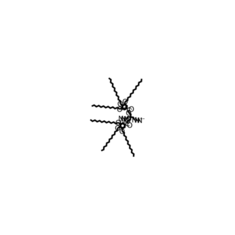 CCCCCCCCCCCCOc1cc([14C](=O)OCC(CN=[N+]=[N-])(CN=[N+]=[N-])CO[14C](=O)c2cc(OCCCCCCCCCCCC)c(OCCCCCCCCCCCC)c(OCCCCCCCCCCCC)c2)cc(OCCCCCCCCCCCC)c1OCCCCCCCCCCCC